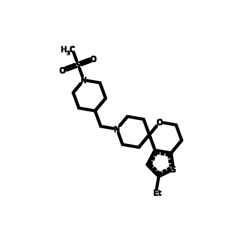 CCc1cc2c(s1)CCOC21CCN(CC2CCN(S(C)(=O)=O)CC2)CC1